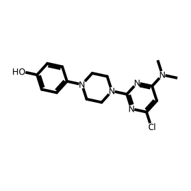 CN(C)c1cc(Cl)nc(N2CCN(c3ccc(O)cc3)CC2)n1